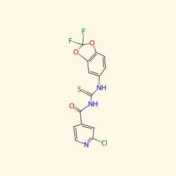 O=C(NC(=S)Nc1ccc2c(c1)OC(F)(F)O2)c1ccnc(Cl)c1